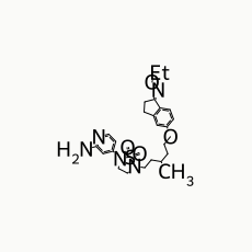 CCON=C1CCc2cc(OCCC(C)CCN3CCN(c4ccnc(N)c4)S3(=O)=O)ccc21